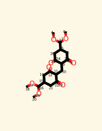 COC(OC)C1CC(=O)C(CC2C(=O)CC(C(OC)OC)CC2=O)C(=O)C1